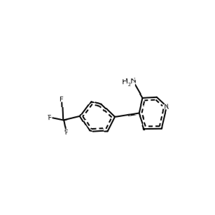 Nc1cnccc1-c1ccc(C(F)(F)F)cc1